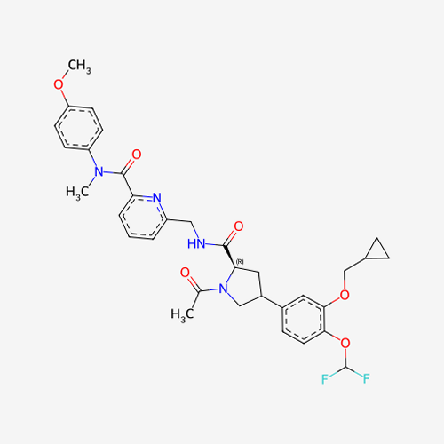 COc1ccc(N(C)C(=O)c2cccc(CNC(=O)[C@H]3CC(c4ccc(OC(F)F)c(OCC5CC5)c4)CN3C(C)=O)n2)cc1